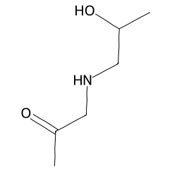 CC(=O)CNCC(C)O